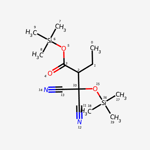 CCC(C(=O)O[Si](C)(C)C)C(C#N)(C#N)O[Si](C)(C)C